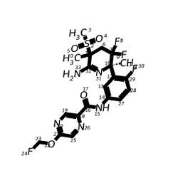 CC1(S(C)(=O)=O)CC(F)(F)[C@@](C)(c2cc(NC(=O)c3cnc(OCF)cn3)ccc2F)N=C1N